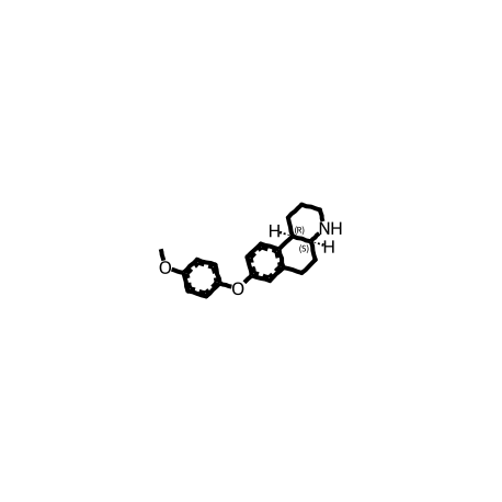 COc1ccc(Oc2ccc3c(c2)CC[C@@H]2NCCC[C@H]32)cc1